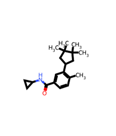 Cc1ccc(C(=O)NC2CC2)cc1C1CC(C)(C)C(C)(C)C1